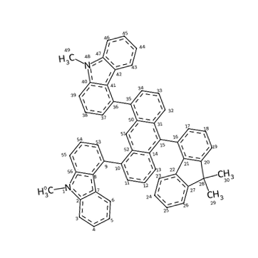 Cn1c2ccccc2c2c(-c3cccc4c(-c5cccc6c5-c5ccccc5C6(C)C)c5cccc(-c6cccc7c6c6ccccc6n7C)c5cc34)cccc21